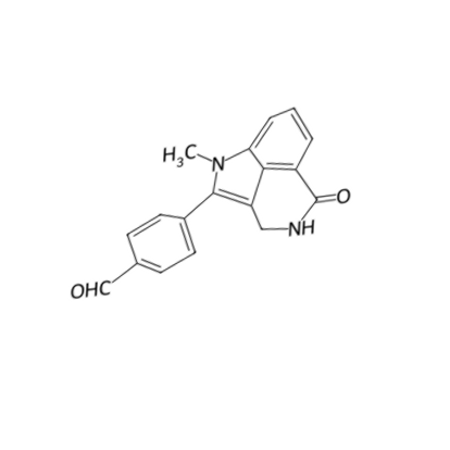 Cn1c(-c2ccc(C=O)cc2)c2c3c(cccc31)C(=O)NC2